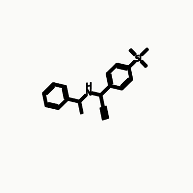 C#CC(NC(C)c1ccccc1)c1ccc([Si](C)(C)C)cc1